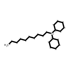 CCCCCCCCCCP(C1CCCCC1)C1CCCCC1